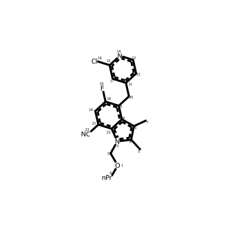 CCCOCn1c(C)c(C)c2c(Cc3ccnc(Cl)c3)c(F)cc(C#N)c21